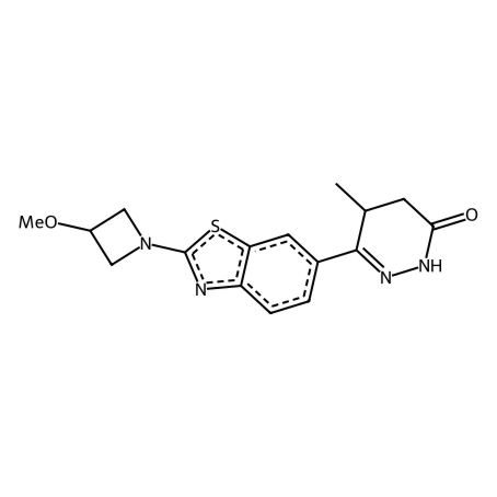 COC1CN(c2nc3ccc(C4=NNC(=O)CC4C)cc3s2)C1